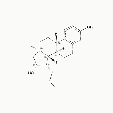 CCC[C@H]1[C@H]2[C@@H]3CCc4cc(O)ccc4[C@H]3CC[C@]2(C)C[C@H]1O